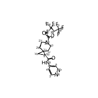 O=C(Nc1ccnnc1)[C@H]1CC12CCN(C(=O)OC(C(F)(F)F)C(F)(F)F)CC2